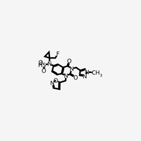 Cn1cc(Cn2c(=O)c3cc(N([SH](=O)=O)C4(CF)CC4)ccc3n(Cc3ccno3)c2=O)cn1